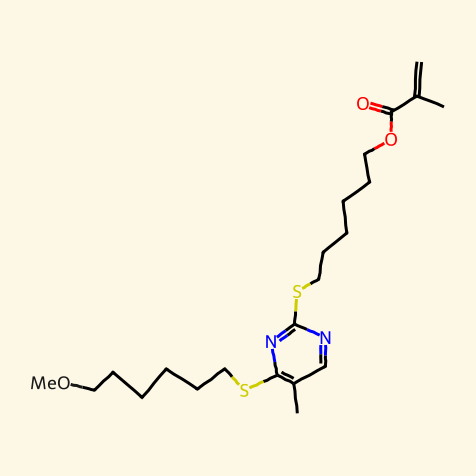 C=C(C)C(=O)OCCCCCCSc1ncc(C)c(SCCCCCCOC)n1